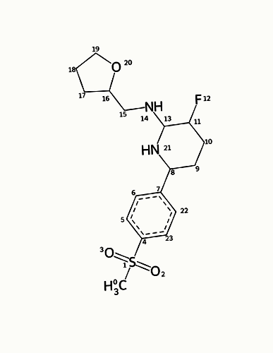 CS(=O)(=O)c1ccc(C2CCC(F)C(NCC3CCCO3)N2)cc1